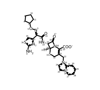 Nc1nc(/C(=N\OC2CCCC2)C(=O)N[C@@H]2C(=O)N3C(C(=O)[O-])=C(Cn4cc[n+]5ccccc45)CS[C@H]23)cs1